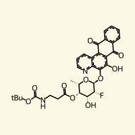 C[C@@H]1O[C@@H](Oc2c(O)c3c(c4cccnc24)C(=O)c2ccccc2C3=O)[C@H](F)[C@H](O)[C@@H]1OC(=O)CCNC(=O)OC(C)(C)C